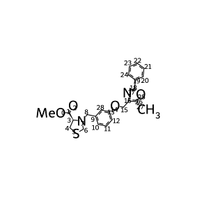 COC(=O)[C@@H]1CSCN1Cc1cccc(OCc2nc(-c3ccccc3)oc2C)c1